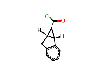 O=C(Cl)[C@H]1[C@H]2Cc3ccccc3[C@H]21